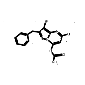 CC(C)c1c(Cc2ccccc2)nn2c(OC(N)=O)cc(Cl)nc12